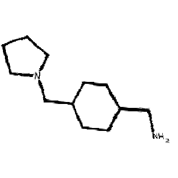 NCC1CCC(CN2CCCC2)CC1